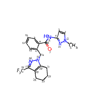 Cn1ccc(NC(=O)c2ccccc2Cn2nc(C(F)(F)F)c3c2CCCC3)n1